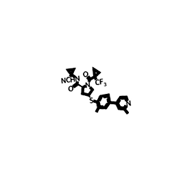 Cc1cc(-c2ccc(S[C@@H]3C[C@@H](C(=O)NC4(C#N)CC4)N(C(=O)C4(C(F)(F)F)CC4)C3)c(C)c2)ccn1